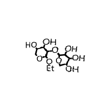 CCOC1OCC(O)C(O)C1OC1OCC(O)C(O)C1O